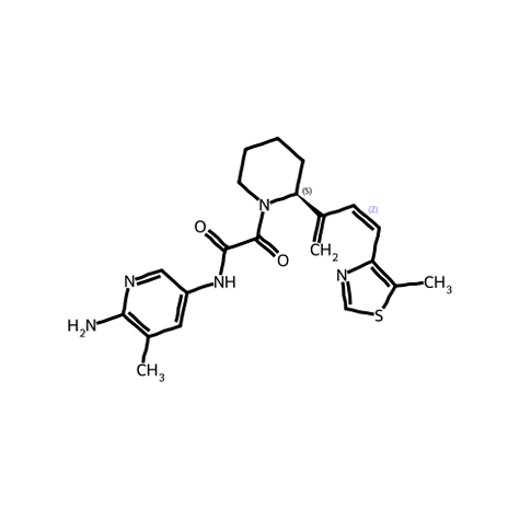 C=C(/C=C\c1ncsc1C)[C@@H]1CCCCN1C(=O)C(=O)Nc1cnc(N)c(C)c1